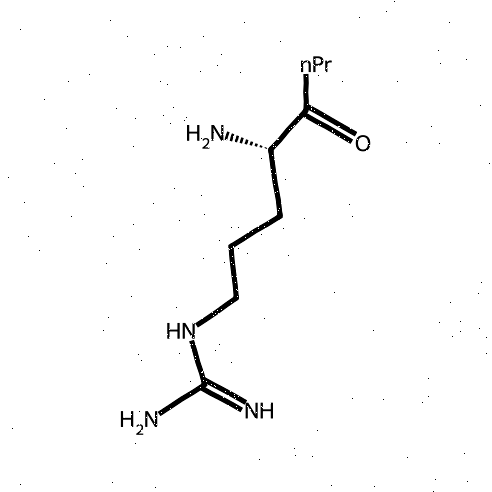 CCCC(=O)[C@@H](N)CCCNC(=N)N